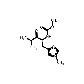 COC(=O)N[C@@H](Cc1cn(C)cn1)C(=O)C(C)C